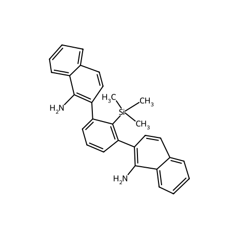 C[Si](C)(C)c1c(-c2ccc3ccccc3c2N)cccc1-c1ccc2ccccc2c1N